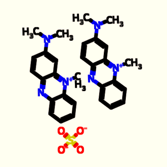 CN(C)c1ccc2nc3ccccc3[n+](C)c2c1.CN(C)c1ccc2nc3ccccc3[n+](C)c2c1.O=S(=O)([O-])[O-]